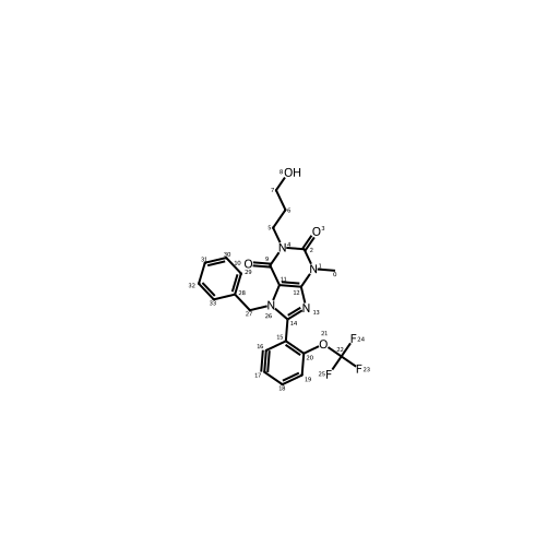 Cn1c(=O)n(CCCO)c(=O)c2c1nc(-c1c#cccc1OC(F)(F)F)n2Cc1ccccc1